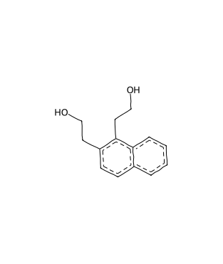 OCCc1ccc2ccccc2c1CCO